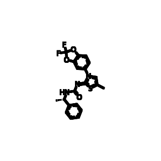 Cc1cn(-c2ccc3c(c2)OC(F)(F)O3)/c(=N/C(=O)N[C@@H](C)c2ccccc2)s1